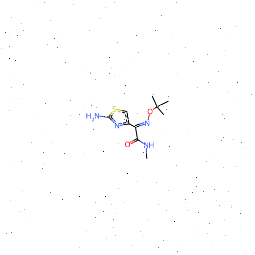 CNC(=O)/C(=N/OC(C)(C)C)c1csc(N)n1